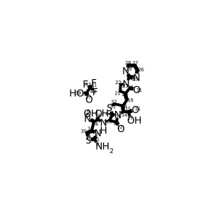 Nc1nc(/C(=N/O)C(=O)N[C@@H]2C(=O)N3C(C(=O)O)=C(/C=C4\CCN(c5ncccn5)C4=O)CS[C@H]23)cs1.O=C(O)C(F)(F)F